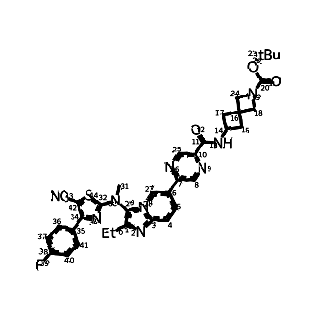 CCc1nc2ccc(-c3cnc(C(=O)NC4CC5(C4)CN(C(=O)OC(C)(C)C)C5)cn3)cn2c1N(C)c1nc(-c2ccc(F)cc2)c(C#N)s1